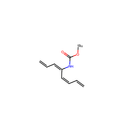 C=C/C=C\C(=C/C=C)NC(=O)OC(C)(C)C